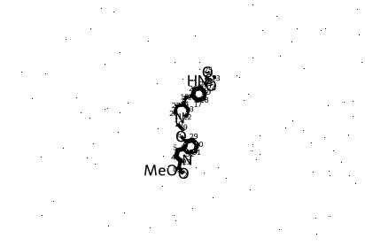 COC(=O)c1ccc2c(OCCN3CCC(Cc4cccc(NS(C)(=O)=O)c4)CC3)cccc2n1